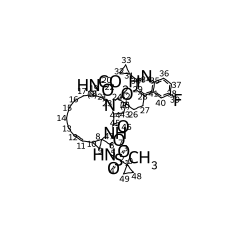 CC1(S(=O)(=O)NC(=O)C23CC2C=CCCCCC[C@H](NC(=O)O)C(=O)N2C[C@@]4(CCc5c(c(C6CC6)nc6ccc(F)cc56)O4)CC2C(=O)N3)CC1